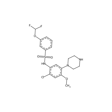 COc1cc(Cl)c(NS(=O)(=O)c2cccc(OC(F)F)c2)cc1N1CCNCC1